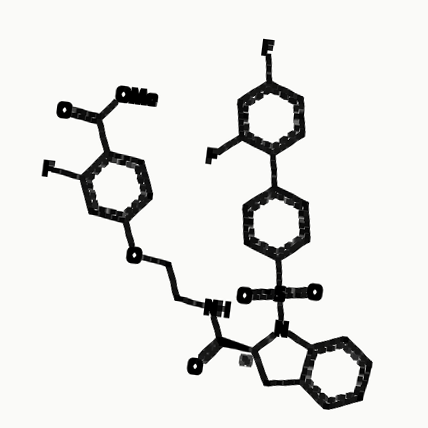 COC(=O)c1ccc(OCCNC(=O)[C@@H]2Cc3ccccc3N2S(=O)(=O)c2ccc(-c3ccc(F)cc3F)cc2)cc1F